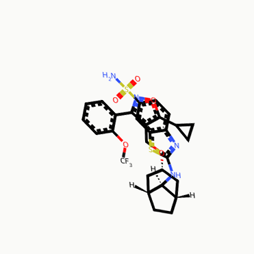 NS(=O)(=O)c1ccc2nc(N[C@@H]3[C@@H]4CC[C@H]3C[C@@H](OCc3c(-c5ccccc5OC(F)(F)F)noc3C3CC3)C4)sc2c1